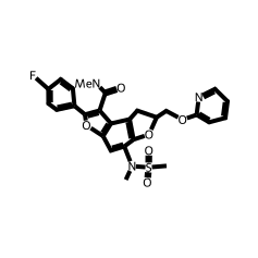 CNC(=O)c1c(-c2ccc(F)cc2)oc2cc(N(C)S(C)(=O)=O)c3c(c12)CC(COc1ccccn1)O3